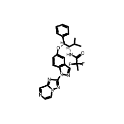 CC(C)[C@H](NC(=O)C(C)(F)F)[C@H](Oc1ccc2c(cnn2-c2nc3cnccn3n2)c1)c1ccccc1